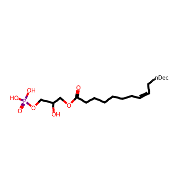 CCCCCCCCCCC/C=C\CCCCCCC(=O)OCC(O)COP(=O)(O)O